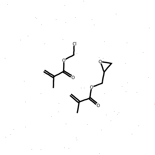 C=C(C)C(=O)OCC1CO1.C=C(C)C(=O)OCCl